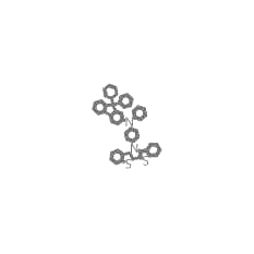 C1=CCC(C2(c3ccccc3)c3ccccc3-c3ccc(N(c4ccccc4)c4ccc(N5c6c(sc7ccccc67)C6Sc7ccccc7C65)cc4)cc32)C=C1